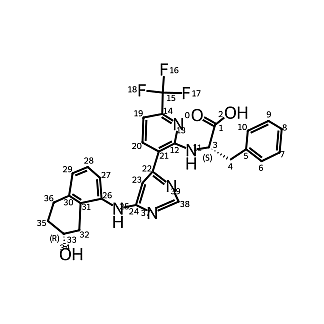 O=C(O)[C@H](Cc1ccccc1)Nc1nc(C(F)(F)F)ccc1-c1cc(Nc2cccc3c2C[C@H](O)CC3)ncn1